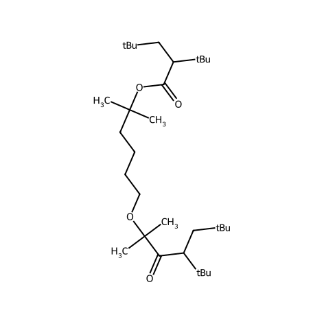 CC(C)(C)CC(C(=O)OC(C)(C)CCCCOC(C)(C)C(=O)C(CC(C)(C)C)C(C)(C)C)C(C)(C)C